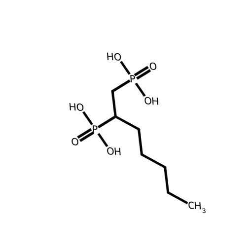 CCCCCC(CP(=O)(O)O)P(=O)(O)O